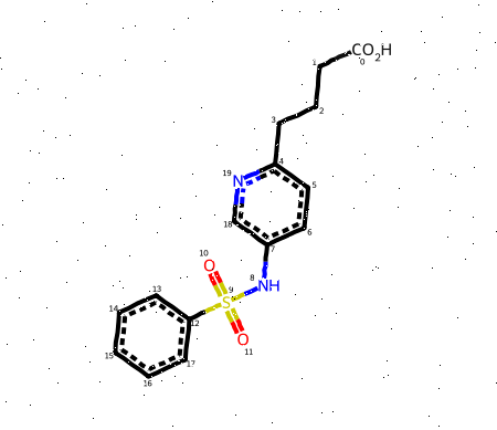 O=C(O)CCCc1ccc(NS(=O)(=O)c2ccccc2)cn1